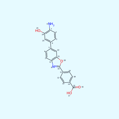 Nc1ccc(-c2ccc3nc(-c4ccc(C(=O)O)cc4)oc3c2)cc1O